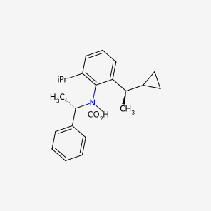 CC(C)c1cccc([C@H](C)C2CC2)c1N(C(=O)O)[C@@H](C)c1ccccc1